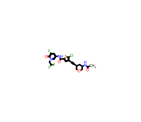 CC(=O)NC1COCC(C#Cc2cc(C(=O)Nc3cc(F)c(=O)n(CC(F)F)c3)sc2Cl)C1